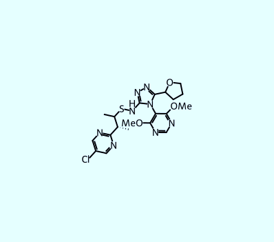 COc1ncnc(OC)c1-n1c(NSC(C)[C@H](C)c2ncc(Cl)cn2)nnc1C1CCCO1